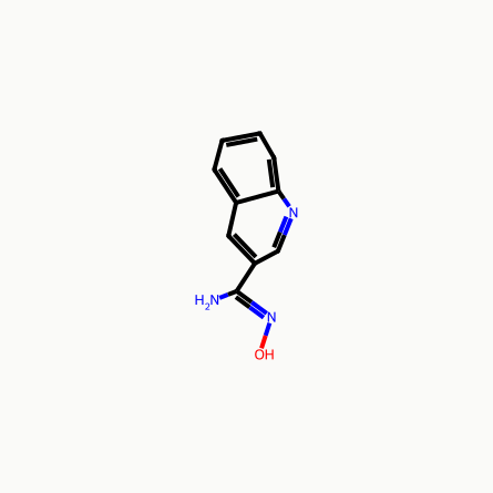 NC(=NO)c1cnc2ccccc2c1